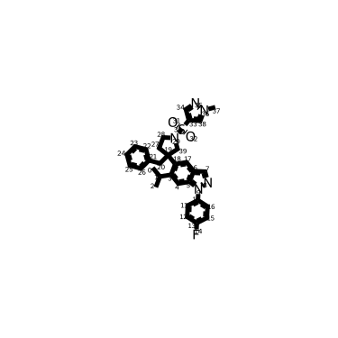 CC(C)c1cc2c(cnn2-c2ccc(F)cc2)cc1C1(Cc2ccccc2)CCN(S(=O)(=O)c2cnn(C)c2)C1